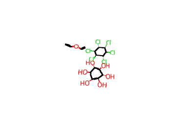 C=COC=C.Cl[C@H]1[C@H](Cl)[C@@H](Cl)[C@@H](Cl)[C@H](Cl)[C@H]1Cl.O[C@H]1[C@H](O)[C@@H](O)[C@H](O)[C@@H](O)[C@H]1O